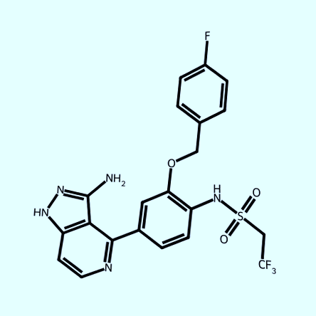 Nc1n[nH]c2ccnc(-c3ccc(NS(=O)(=O)CC(F)(F)F)c(OCc4ccc(F)cc4)c3)c12